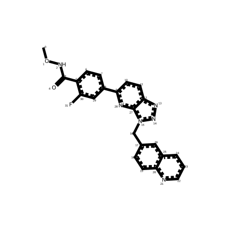 CONC(=O)c1ccc(-c2ccc3nnn(Cc4ccc5ncccc5c4)c3n2)cc1F